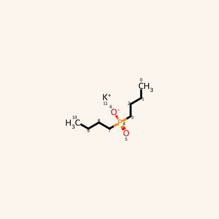 CCCCP(=O)([O-])CCCC.[K+]